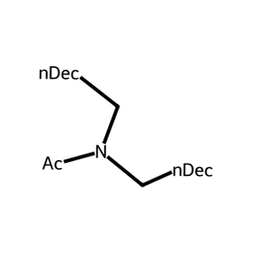 CCCCCCCCCCCN(CCCCCCCCCCC)C(C)=O